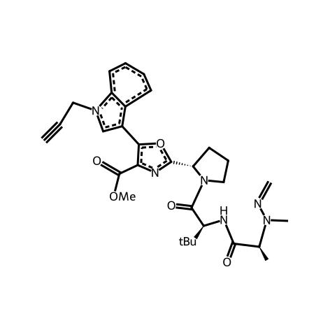 C#CCn1cc(-c2oc([C@@H]3CCCN3C(=O)[C@@H](NC(=O)[C@H](C)N(C)N=C)C(C)(C)C)nc2C(=O)OC)c2ccccc21